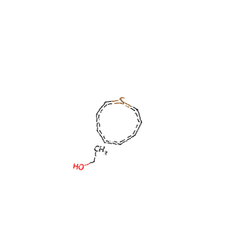 CCO.c1ccccsccc1